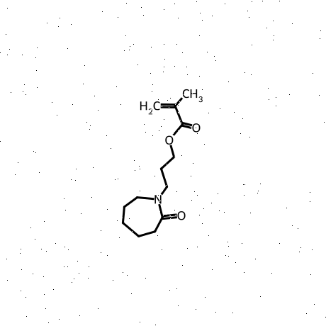 C=C(C)C(=O)OCCCN1CCCCCC1=O